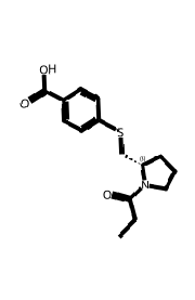 CCC(=O)N1CCC[C@H]1CSc1ccc(C(=O)O)cc1